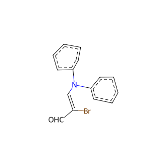 O=C/C(Br)=C/N(c1ccccc1)c1ccccc1